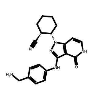 N#C[C@H]1CCCC[C@@H]1n1nc(Nc2ccc(CN)cc2)c2c(=O)[nH]ccc21